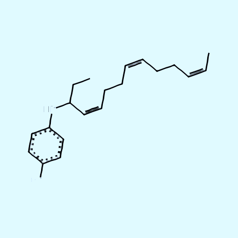 C/C=C\CC/C=C\CC/C=C\C(CC)Pc1ccc([18F])cc1